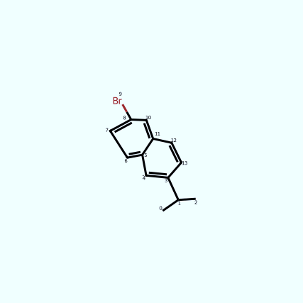 CC(C)c1[c]c2ccc(Br)cc2cc1